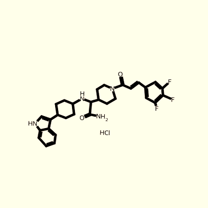 Cl.NC(=O)C(NC1CCC(c2c[nH]c3ccccc23)CC1)C1CCN(C(=O)C=Cc2cc(F)c(F)c(F)c2)CC1